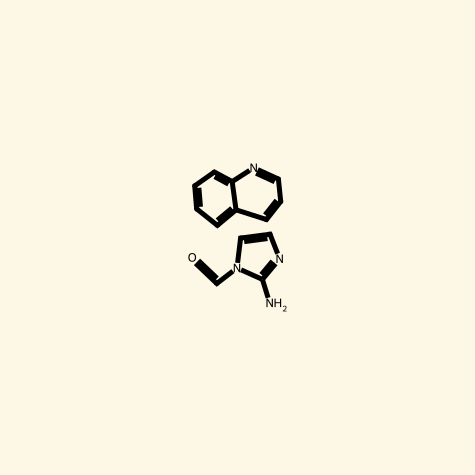 Nc1nccn1C=O.c1ccc2ncccc2c1